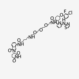 O=C1CCC(N2Cc3c(NC(=O)CCCCNCCOCCOCCOCCNC(=O)[C@]4(Cc5cccc(Nc6nccs6)n5)CC[C@@H](Oc5cccc(Cl)c5F)CC4)cccc3C2=O)C(=O)N1